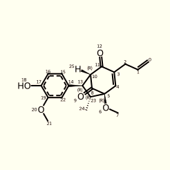 C=CCC1=C[C@@]2(OC)C(=O)[C@@H](C1=O)[C@H](c1ccc(O)c(OC)c1)[C@H]2C